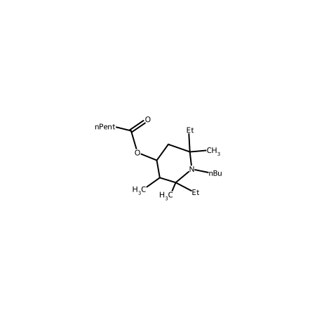 CCCCCC(=O)OC1CC(C)(CC)N(CCCC)C(C)(CC)C1C